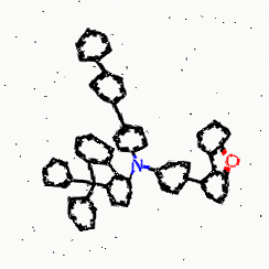 c1ccc(-c2ccc(-c3ccc(N(c4ccc(-c5cccc6oc7ccccc7c56)cc4)c4cccc5c4-c4ccccc4C5(c4ccccc4)c4ccccc4)cc3)cc2)cc1